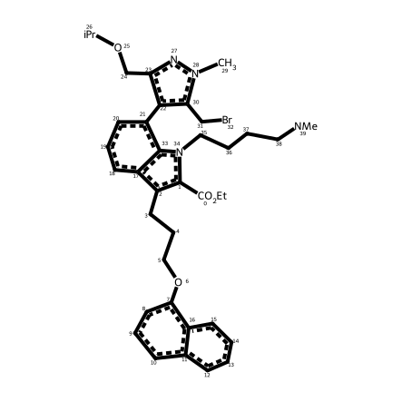 CCOC(=O)c1c(CCCOc2cccc3ccccc23)c2cccc(-c3c(COC(C)C)nn(C)c3CBr)c2n1CCCCNC